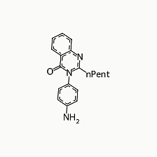 CCCCCc1nc2ccccc2c(=O)n1-c1ccc(N)cc1